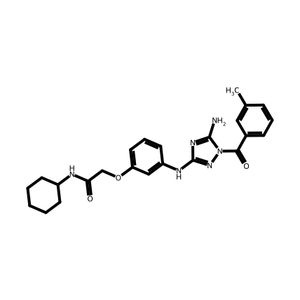 Cc1cccc(C(=O)n2nc(Nc3cccc(OCC(=O)NC4CCCCC4)c3)nc2N)c1